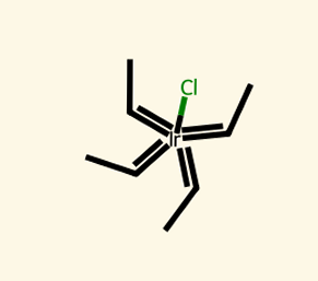 C[CH]=[Ir]([Cl])(=[CH]C)(=[CH]C)=[CH]C